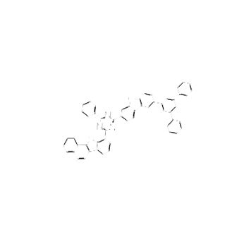 c1ccc(-c2cc(-c3ccccc3)cc(-c3ccc4oc5cc(-c6nc(-c7ccccc7)nc(-c7cccc8c7sc7c9ccccc9ccc87)n6)ccc5c4c3)c2)cc1